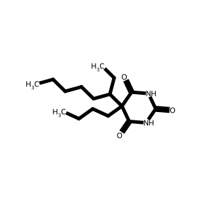 CCCCCC(CC)C1(CCCC)C(=O)NC(=O)NC1=O